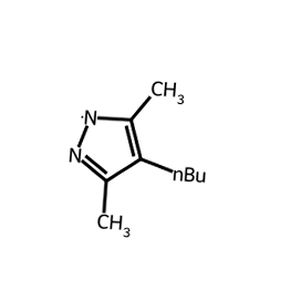 CCCCC1=C(C)[N]N=C1C